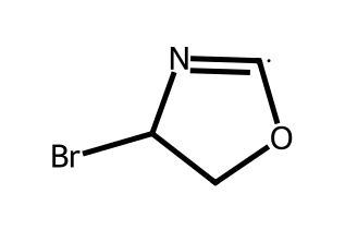 BrC1CO[C]=N1